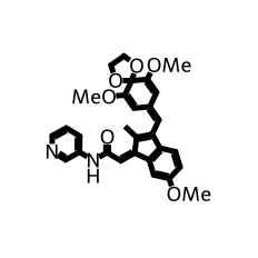 COC1=CC(=CC2=C(C)C(=CC(=O)Nc3cccnc3)c3cc(OC)ccc32)C=C(OC)C12OCCO2